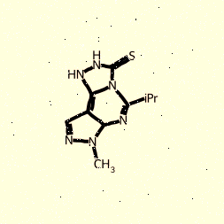 CC(C)C1=NC2C(=C3NNC(=S)N13)C=NN2C